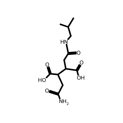 CC(C)CNC(=O)CC(C(=O)O)C(CC(N)=O)C(=O)O